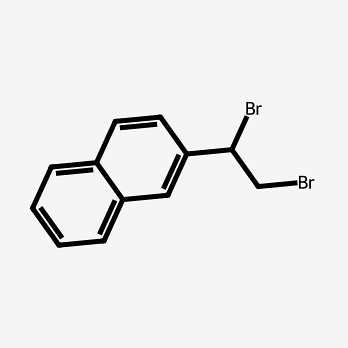 BrCC(Br)c1ccc2ccccc2c1